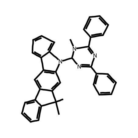 CN1C(c2ccccc2)=NC(c2ccccc2)=NC1n1c2ccccc2c2cc3c(cc21)C(C)(C)c1ccccc1-3